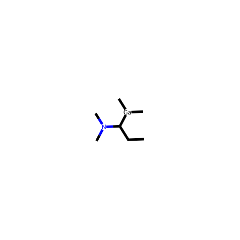 CC[CH](N(C)C)[Ga]([CH3])[CH3]